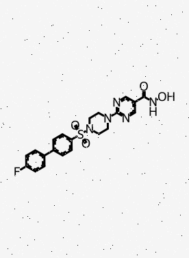 O=C(NO)c1cnc(N2CCN(S(=O)(=O)c3ccc(-c4ccc(F)cc4)cc3)CC2)nc1